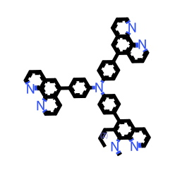 C=Nc1c(/C=C\C)c(-c2ccc(N(c3ccc(-c4cc5cccnc5c5ncccc45)cc3)c3ccc(-c4cc5cccnc5c5ncccc45)cc3)cc2)cc2cccnc12